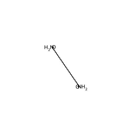 NC(=O)CCCCCCCCCCCCCCCCCCCCCCCCCCCCCCCCCCCCCCCCCCCCC(N)=O